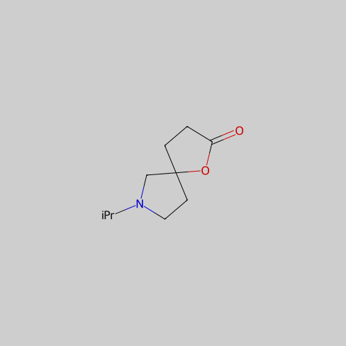 CC(C)N1CCC2(CCC(=O)O2)C1